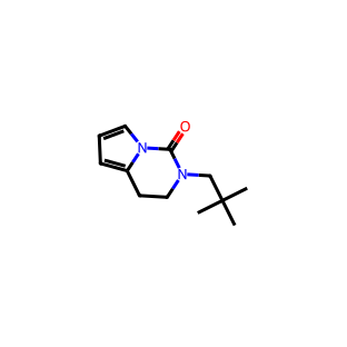 CC(C)(C)CN1CCc2cccn2C1=O